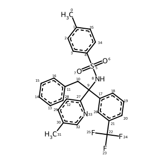 Cc1ccc(S(=O)(=O)NC(Cc2ccccc2)(c2cccc(C(F)(F)F)c2)c2ccc(C)cn2)cc1